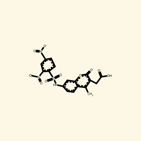 Cc1c(CC(=O)O)c(=O)oc2cc(NS(=O)(=O)c3ccc([N+](=O)[O-])cc3[N+](=O)[O-])ccc12